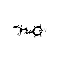 COC(=O)CNC1CCNCC1